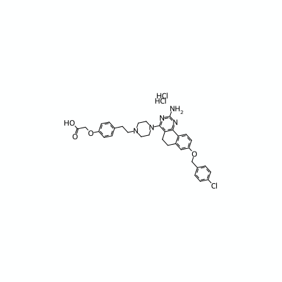 Cl.Cl.Nc1nc2c(c(N3CCN(CCc4ccc(OCC(=O)O)cc4)CC3)n1)CCc1cc(OCc3ccc(Cl)cc3)ccc1-2